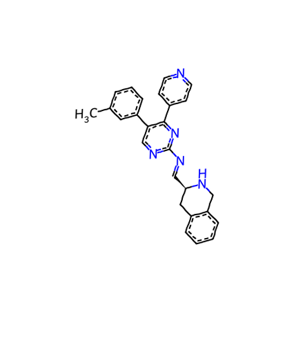 Cc1cccc(-c2cnc(N=C[C@@H]3Cc4ccccc4CN3)nc2-c2ccncc2)c1